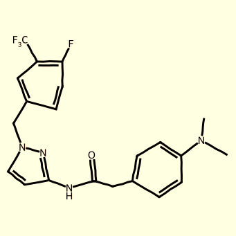 CN(C)c1ccc(CC(=O)Nc2ccn(Cc3ccc(F)c(C(F)(F)F)c3)n2)cc1